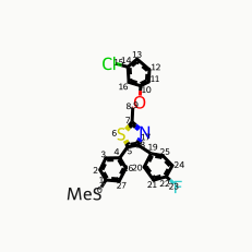 CSc1ccc(-c2sc(COc3cccc(Cl)c3)nc2-c2ccc(F)cc2)cc1